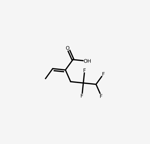 C/C=C(\CC(F)(F)C(F)F)C(=O)O